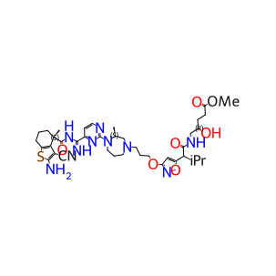 COC(=O)CC[C@@H](O)CNC(=O)C(c1cc(OCCCN2CCCN(c3nccc(C(=N)NC(=O)[C@@]4(C)CCCc5sc(N)c(C#N)c54)n3)[C@@H](C)C2)no1)C(C)C